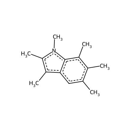 Cc1cc2c(C)c(C)n(C)c2c(C)c1C